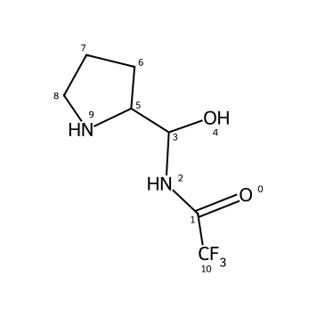 O=C(NC(O)C1CCCN1)C(F)(F)F